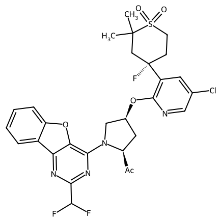 CC(=O)[C@@H]1C[C@H](Oc2ncc(Cl)cc2[C@]2(F)CCS(=O)(=O)C(C)(C)C2)CN1c1nc(C(F)F)nc2c1oc1ccccc12